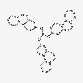 c1ccc2c(c1)ccc1cc(OP(Oc3ccc4c(ccc5ccccc54)c3)Oc3ccc4c(ccc5ccccc54)c3)ccc12